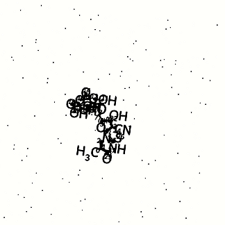 Cc1cn([C@H]2O[C@@H](COP(=O)(O)OP(=O)(O)OP(=O)(O)O)[C@@H](O)C2C#N)c(=S)[nH]c1=O